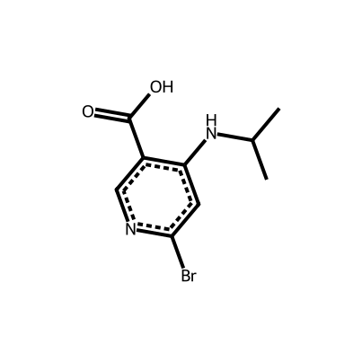 CC(C)Nc1cc(Br)ncc1C(=O)O